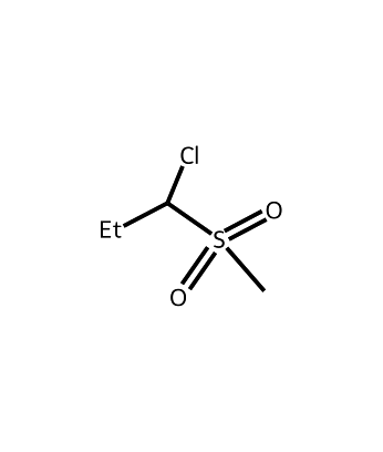 CCC(Cl)S(C)(=O)=O